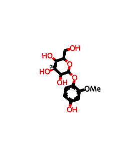 COc1cc(O)ccc1OC1OC(CO)C(O)[C@H](O)C1O